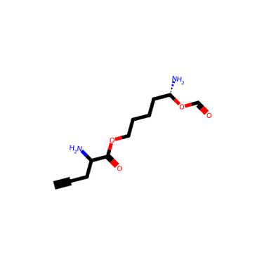 C#CCC(N)C(=O)OCCCC[C@H](N)OC=O